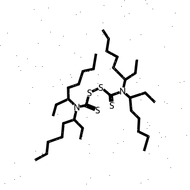 CCCCCC(CC)N(C(=S)SSC(=S)N(C(CC)CCCCC)C(CC)CCCCC)C(CC)CCCCC